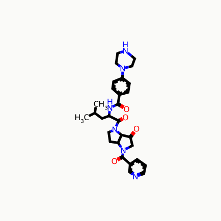 CC(C)CC(NC(=O)c1ccc(N2CCNCC2)cc1)C(=O)N1CCC2C1C(=O)CN2C(=O)c1cccnc1